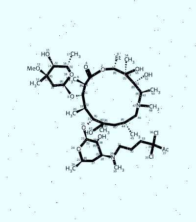 CC[C@H]1OC(=O)[C@H](C)[C@@H](O[C@H]2C[C@@](C)(OC)[C@@H](O)[C@H](C)O2)[C@H](C)[C@@H](O[C@@H]2O[C@H](C)C[C@H](N(C)CCCC(Cl)(Cl)C(C)=O)[C@H]2O)[C@](C)(O)C[C@@H](C)CN(C)[C@H](C)[C@@H](O)[C@]1(C)O